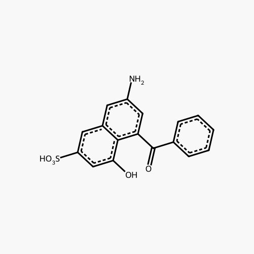 Nc1cc(C(=O)c2ccccc2)c2c(O)cc(S(=O)(=O)O)cc2c1